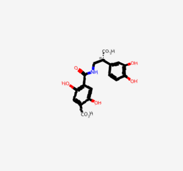 O=C(O)c1cc(O)c(C(=O)NC[C@H](C(=O)O)c2ccc(O)c(O)c2)cc1O